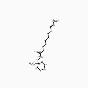 CCCCCCCCC=CCCCCCCCC(=O)NCC1(C(=O)O)CCCCC1